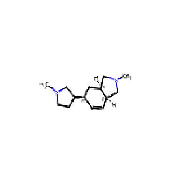 CN1CCC([C@@H]2C=C[C@@H]3CN(C)C[C@@H]3C2)C1